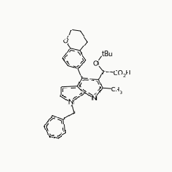 Cc1nc2c(ccn2Cc2ccccc2)c(-c2ccc3c(c2)CCCO3)c1C(OC(C)(C)C)C(=O)O